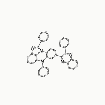 c1ccc(-c2nc3ccccc3nc2-c2ccc3c(c2)N(c2ccccc2)c2cccc4nc(-c5ccccc5)n-3c24)cc1